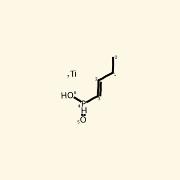 CCC=C[PH](=O)O.[Ti]